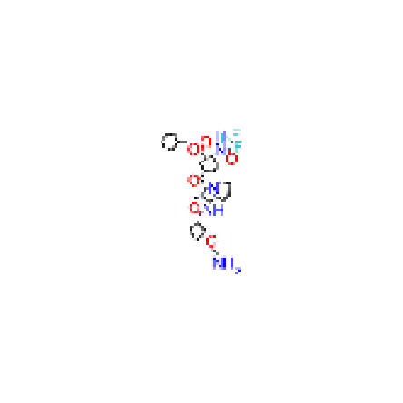 Cc1c(NC(=O)c2cccc(OCCN)c2)c2ccccn2c1C(=O)c1ccc(NC(=O)C(F)(F)F)c(C(=O)OCc2ccccc2)c1